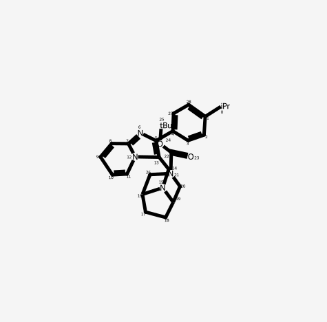 CC(C)c1ccc(-c2nc3ccccn3c2CN2C3CCC2CN(C(=O)OC(C)(C)C)C3)cc1